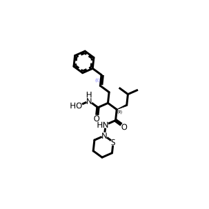 CC(C)C[C@@H](C(=O)NN1CCCCS1)C(C/C=C/c1ccccc1)C(=O)NO